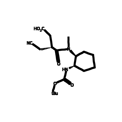 CN(C(=O)[C@H](CC#N)CC(=O)O)[C@H]1CCCC[C@@H]1NC(=O)OC(C)(C)C